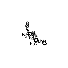 Cc1cc(Nc2ncnc3cc(OCCN4CCOCC4)c(N)cc23)c(F)cc1OCc1ccccn1